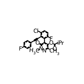 Cc1nn(C)c(=O)c(-c2c(F)ccc(Cl)c2C#Cc2ccc(F)cc2)c1OC(=O)C(C)C